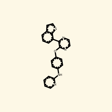 c1ccc(Nc2ccc(Oc3nccnc3-c3cccc4ccsc34)cc2)nc1